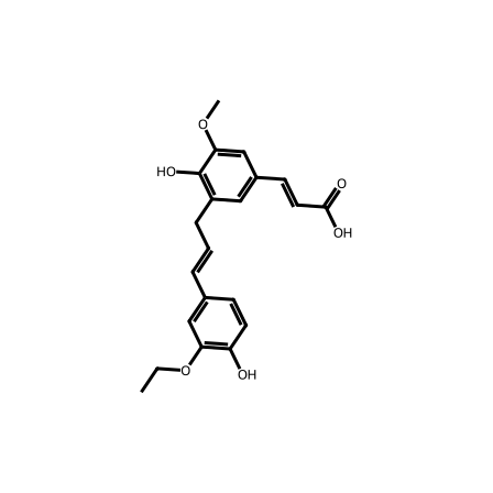 CCOc1cc(C=CCc2cc(C=CC(=O)O)cc(OC)c2O)ccc1O